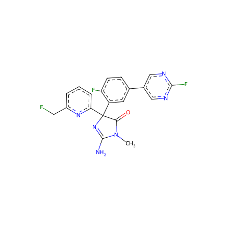 CN1C(=O)C(c2cccc(CF)n2)(c2cc(-c3cnc(F)nc3)ccc2F)N=C1N